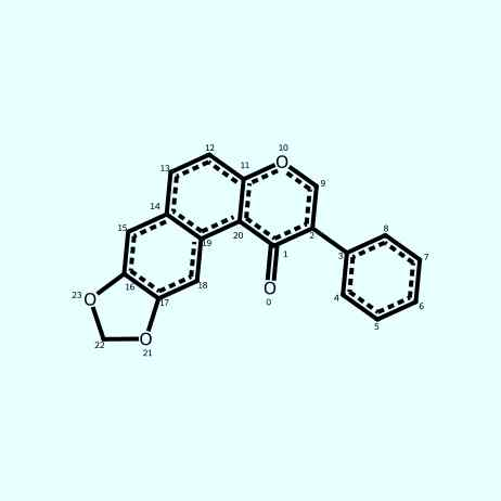 O=c1c(-c2ccccc2)coc2ccc3cc4c(cc3c12)OCO4